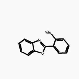 CCCCc1ccccc1-c1nc2ccccc2o1